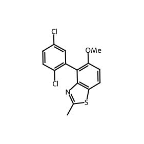 COc1ccc2sc(C)nc2c1-c1cc(Cl)ccc1Cl